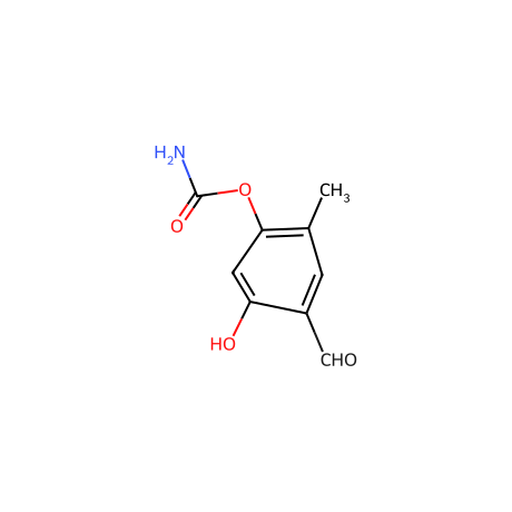 Cc1cc(C=O)c(O)cc1OC(N)=O